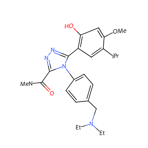 CCN(CC)Cc1ccc(-n2c(C(=O)NC)nnc2-c2cc(C(C)C)c(OC)cc2O)cc1